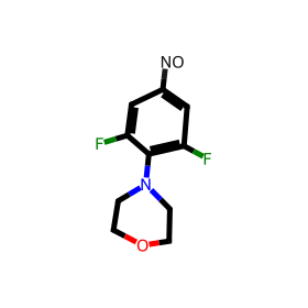 O=Nc1cc(F)c(N2CCOCC2)c(F)c1